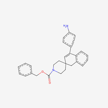 Nc1ccc(C2=CC3(CCN(C(=O)OCc4ccccc4)CC3)Cc3ccccc32)cc1